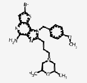 COc1ccc(Cn2c(CCCN3CC(C)OC(C)C3)nc3c(N)nc4cc(Br)sc4c32)cc1